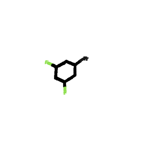 CC(C)C1CC(F)CC(F)C1